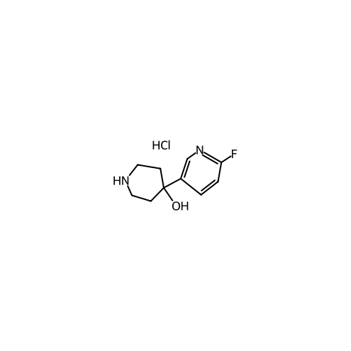 Cl.OC1(c2ccc(F)nc2)CCNCC1